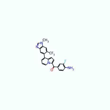 Cn1cnc2cc(-c3cccn4c(C(=O)c5ccc(N)c(F)c5)ccc34)c(C(F)(F)F)cc21